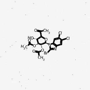 CC(=O)O[C@@H]1[C@H](OC(C)=O)[C@H](O)C(C(C)=O)O[C@H]1n1c(Br)nc2cc(Cl)c(Cl)cc21